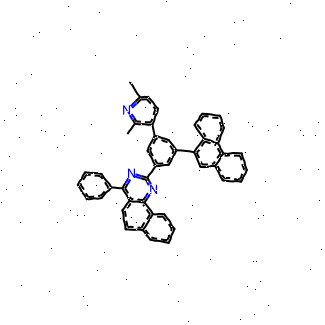 Cc1ccc(-c2cc(-c3nc(-c4ccccc4)c4ccc5ccccc5c4n3)cc(-c3cc4ccccc4c4ccccc34)c2)c(C)n1